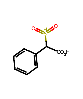 O=C(O)C(c1ccccc1)[SH](=O)=O